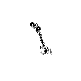 CC(C)(C)OC(=O)NCCOCCOCCOCCn1ncc2c1CCCC2NC(=O)c1ccccn1